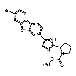 CC(C)(C)OC(=O)N1CCCC1c1ncc(-c2ccc3c(c2)sc2cc(Br)ccc23)[nH]1